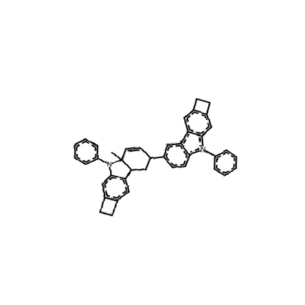 CC12C=CC(c3ccc4c(c3)c3cc5c(cc3n4-c3ccccc3)CC5)CC1c1cc3c(cc1N2c1ccccc1)CC3